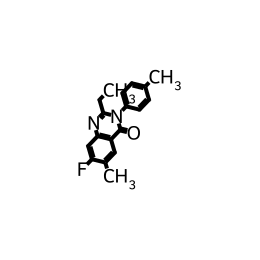 CCc1nc2cc(F)c(C)cc2c(=O)n1-c1ccc(C)cc1